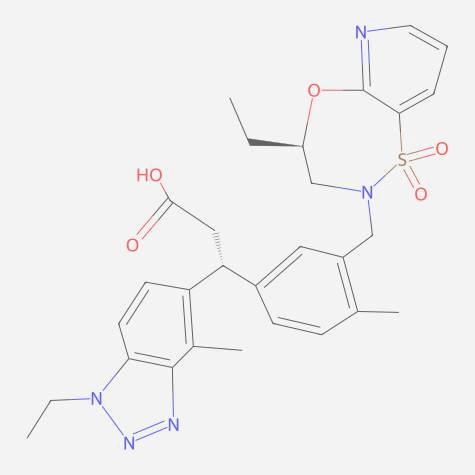 CC[C@@H]1CN(Cc2cc([C@@H](CC(=O)O)c3ccc4c(nnn4CC)c3C)ccc2C)S(=O)(=O)c2cccnc2O1